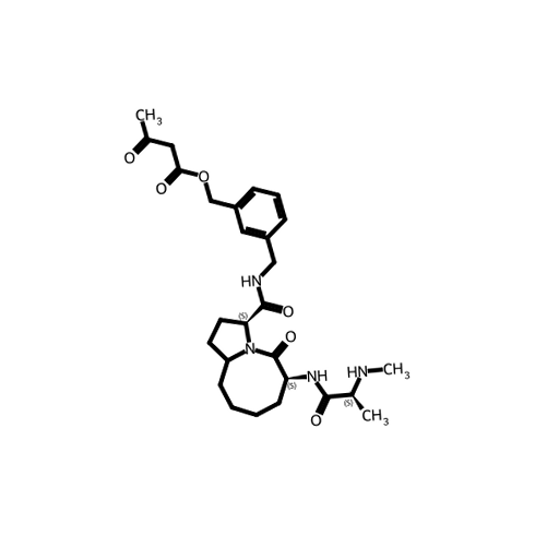 CN[C@@H](C)C(=O)N[C@H]1CCCCC2CC[C@@H](C(=O)NCc3cccc(COC(=O)CC(C)=O)c3)N2C1=O